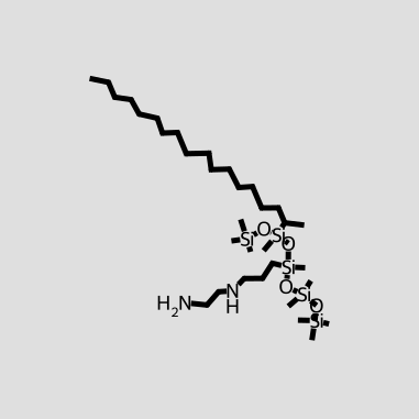 CCCCCCCCCCCCCCCCC(C)[Si](C)(O[Si](C)(C)C)O[Si](C)(CCCNCCN)O[Si](C)(C)O[Si](C)(C)C